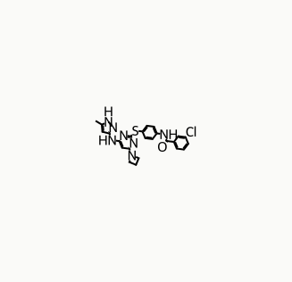 Cc1cc(Nc2cc(N3CCC3)nc(Sc3ccc(NC(=O)c4cccc(Cl)c4)cc3)n2)n[nH]1